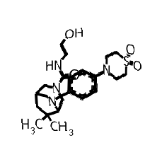 CC1(C)CC2CN(C(=O)NCCO)CC1N(c1ccc(N3CCS(=O)(=O)CC3)cc1)C2